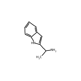 [CH2]C(N)c1cc2ccccc2[nH]1